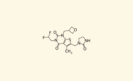 Cc1c(CN2CCNC2=O)sc2c1c(=O)n(CC(F)F)c(=O)n2CC1COC1